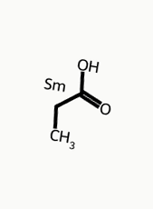 CCC(=O)O.[Sm]